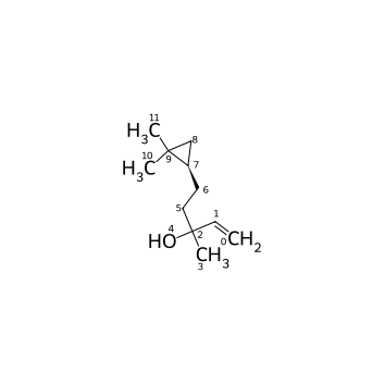 C=CC(C)(O)CC[C@@H]1CC1(C)C